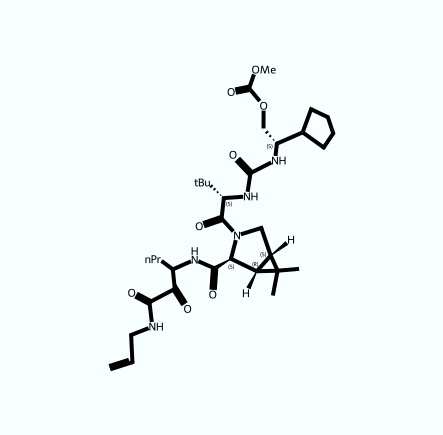 C=CCNC(=O)C(=O)C(CCC)NC(=O)[C@@H]1[C@@H]2[C@H](CN1C(=O)[C@@H](NC(=O)N[C@H](COC(=O)OC)C1CCCC1)C(C)(C)C)C2(C)C